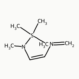 C=N/C=C\N(C)S(C)(C)C